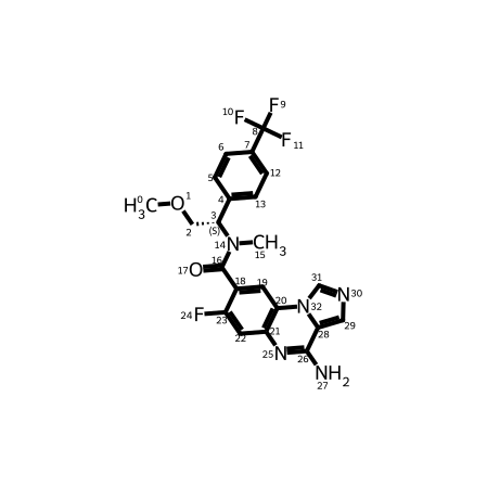 COC[C@H](c1ccc(C(F)(F)F)cc1)N(C)C(=O)c1cc2c(cc1F)nc(N)c1cncn12